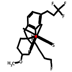 COC1CCC2(CC1)Cc1ccc(CCC(F)(F)F)cc1C21NC(=S)N(CCF)C1=O